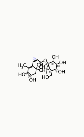 CC1=C(/C=C\[C@@H](C)O[C@@H]2O[C@H](CO)[C@@H](O)[C@H](O)[C@H]2O)C(C)(C)C[C@H](O)[C@@H]1O